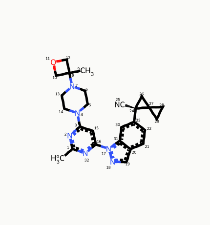 Cc1nc(N2CCN(C3(C)COC3)CC2)cc(-n2ncc3ccc([C@]4(C#N)CC45CC5)cc32)n1